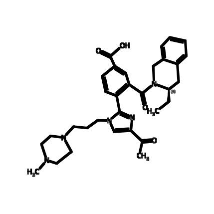 CC[C@@H]1Cc2ccccc2CN1C(=O)c1cc(C(=O)O)ccc1-c1nc(C(C)=O)cn1CCCN1CCN(C)CC1